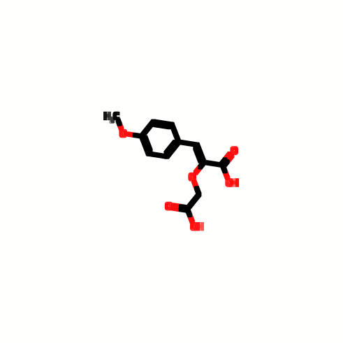 COc1ccc(C=C(OCC(=O)O)C(=O)O)cc1